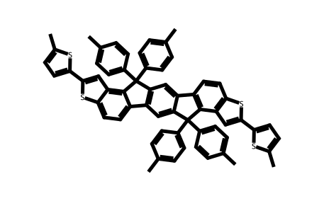 Cc1ccc(C2(c3ccc(C)cc3)c3cc4c(cc3-c3ccc5sc(-c6ccc(C)s6)cc5c32)C(c2ccc(C)cc2)(c2ccc(C)cc2)c2c-4ccc3sc(-c4ccc(C)s4)cc23)cc1